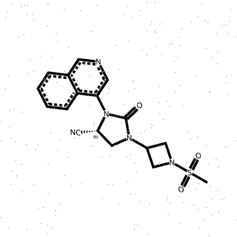 CS(=O)(=O)N1CC(N2C[C@H](C#N)N(c3cncc4ccccc34)C2=O)C1